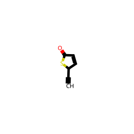 C#CC1C=CC(=O)S1